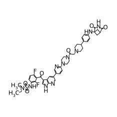 CCN(C)S(=O)(=O)Nc1ccc(F)c(C(=O)c2c[nH]c3ncc(-c4ccc(N5CCN(C(=O)CN6CCC(c7ccc(NC89CC(C8)C(=O)NC9=O)cc7)CC6)CC5)nc4)cc23)c1F